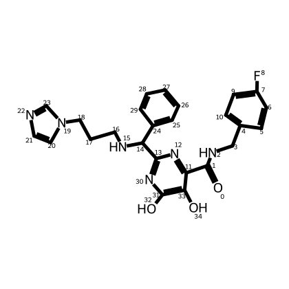 O=C(NCc1ccc(F)cc1)c1nc(C(NCCCn2ccnc2)c2ccccc2)nc(O)c1O